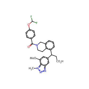 COc1cc(C(CC(=O)O)c2cccc3c2CCN(C(=O)c2ccc(OC(F)F)cc2)C3)cc2nnn(C)c12